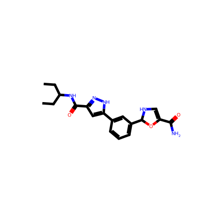 CCC(CC)NC(=O)c1cc(-c2cccc(C3NC=C(C(N)=O)O3)c2)[nH]n1